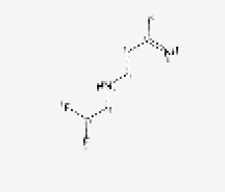 CC(=N)CCNCC(F)F